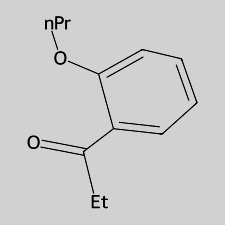 CCCOc1ccccc1C(=O)CC